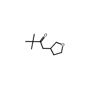 CC(C)(C)C(=O)CC1CCOC1